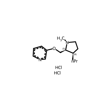 CCC[C@@H]1CCN(C)[C@@H]1COc1cccnc1.Cl.Cl